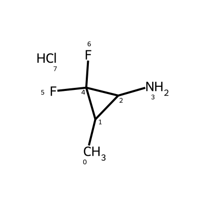 CC1C(N)C1(F)F.Cl